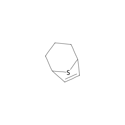 C1=CC2CCCC1S2